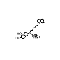 Br.Br.CCCN(CCCCCCN1CCc2ccccc21)C1CCc2c(ccc(O)c2O)C1